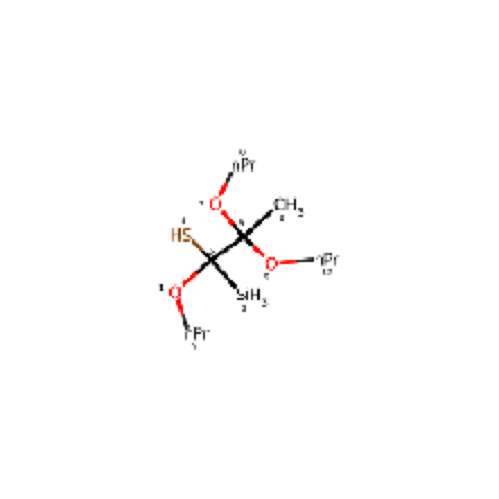 CCCOC([SiH3])(S)C(C)(OCCC)OCCC